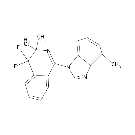 Cc1cccc2c1ncn2C1=NC(C)(C)C(F)(F)c2ccccc21